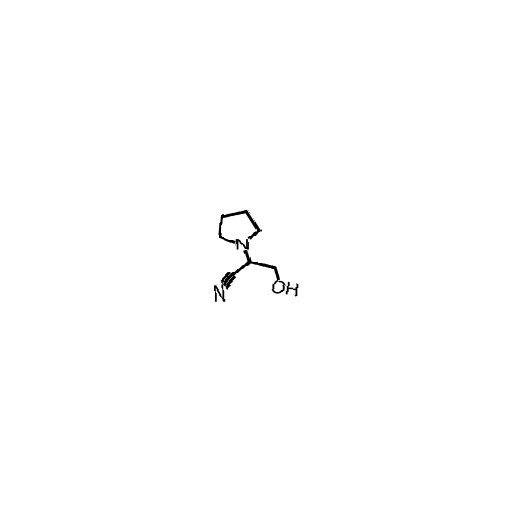 N#CC(CO)N1CCCC1